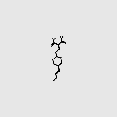 CC/C=C/C1COC(CCC(C(=O)O)C(=O)O)OC1